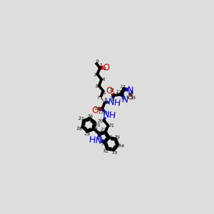 CC(=O)CCCCC[C@H](NC(=O)c1cnsn1)C(=O)NCCc1c(-c2ccccc2)[nH]c2ccccc12